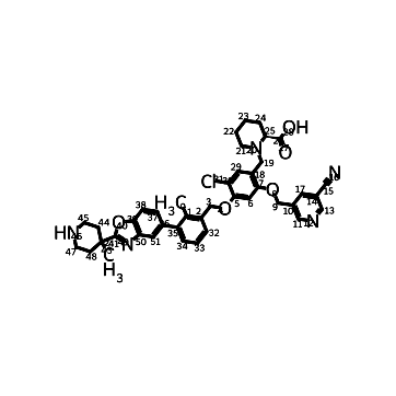 Cc1c(COc2cc(OCc3cncc(C#N)c3)c(CN3CCCC[C@H]3C(=O)O)cc2Cl)cccc1-c1ccc2oc(C3(C)CCNCC3)nc2c1